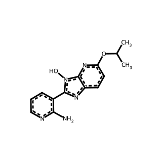 CC(C)Oc1ccc2nc(-c3cccnc3N)n(O)c2n1